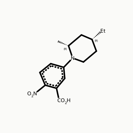 CC[C@@H]1CCN(c2ccc([N+](=O)[O-])c(C(=O)O)c2)[C@H](C)C1